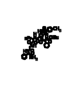 CCCC(NC(=O)C1C[C@@H](NS(=O)(=O)c2ccc(C)cc2)CN1C(=O)[C@@H](NC(=O)OCC(C)C)C1CCCCC1)C(=O)C(=O)NCC(=O)N[C@H](C(N)=O)c1ccccc1